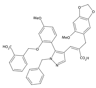 COc1ccc(-c2c(C=C(Cc3cc4c(cc3OC)OCO4)C(=O)O)cnn2Cc2ccccc2)c(OCc2ccccc2C(=O)O)c1